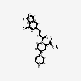 NC(=O)C1CC(N2CCNCC2)CCN1C(=O)[CH]Cc1cc(Cl)c2[nH]ncc2c1